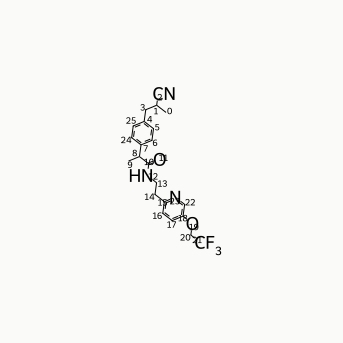 CC(C#N)Cc1ccc(C(C)C(=O)NCCc2ccc(OCC(F)(F)F)cn2)cc1